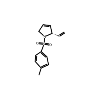 C=C[C@H]1C=CCN1S(=O)(=O)c1ccc(C)cc1